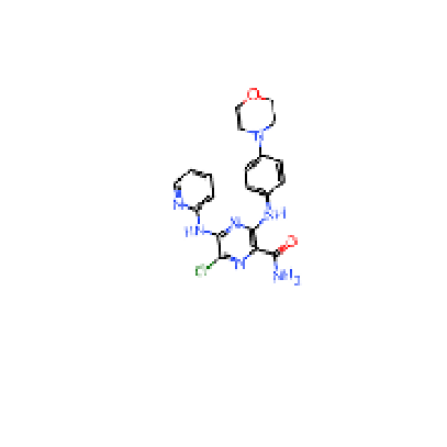 NC(=O)c1nc(Cl)c(Nc2ccccn2)nc1Nc1ccc(N2CCOCC2)cc1